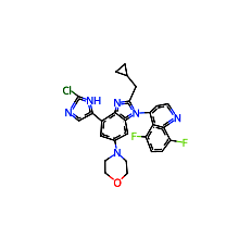 Fc1ccc(F)c2c(-n3c(CC4CC4)nc4c(-c5cnc(Cl)[nH]5)cc(N5CCOCC5)cc43)ccnc12